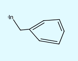 [In][CH2]c1ccccc1